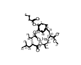 CCCC(=O)Oc1ccc(C[C@H](NCC(C)OC(=O)CCC(C)C)C(=O)OC)cc1OC(=O)CCC